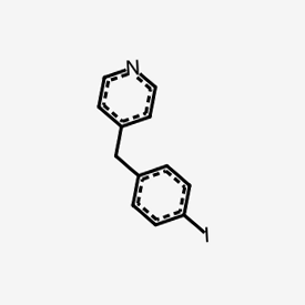 Ic1ccc(Cc2ccncc2)cc1